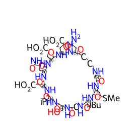 CC[C@H](C)[C@@H]1NC(=O)[C@H](CCSC)NC(=O)[C@H](C)NCCCCC(=O)[C@H](CC(N)=O)NC(=O)[C@H](CCC(=O)O)NC(=O)[C@H](CCC(=O)O)NC(=O)[C@H](CCC(N)=O)NC(=O)[C@H](CCC(=O)O)NC(=O)[C@H](C(C)C)NC(=O)[C@H](CO)NC(=O)CNC1=O